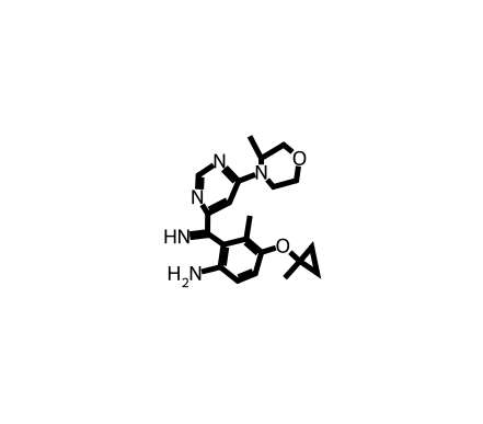 Cc1c(OC2(C)CC2)ccc(N)c1C(=N)c1cc(N2CCOCC2C)ncn1